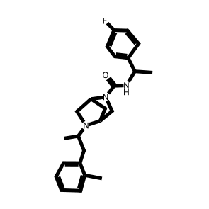 Cc1ccccc1CC(C)N1CC2CC1CN2C(=O)NC(C)c1ccc(F)cc1